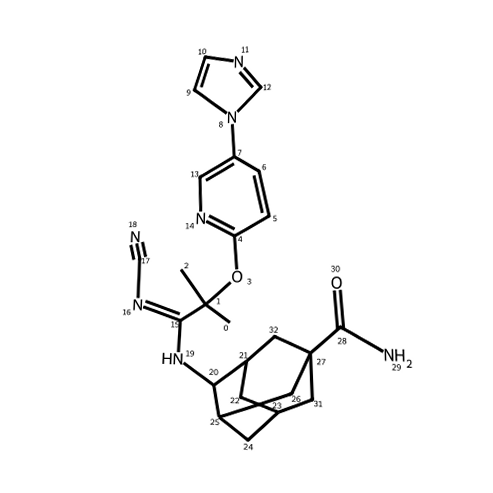 CC(C)(Oc1ccc(-n2ccnc2)cn1)/C(=N\C#N)NC1C2CC3CC1CC(C(N)=O)(C3)C2